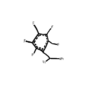 CCC(c1c(F)c(F)c(F)c(F)c1F)C(C)C